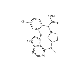 COC(=O)C(c1ccc(Cl)cc1F)N1CCC(N(C)c2ncnc3[nH]ccc23)C1